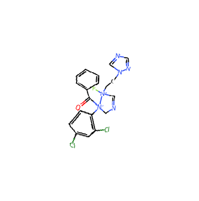 O=C(c1ccccc1)[N+]1(c2ccc(Cl)cc2Cl)CN=C[N+]1(F)CCn1cncn1